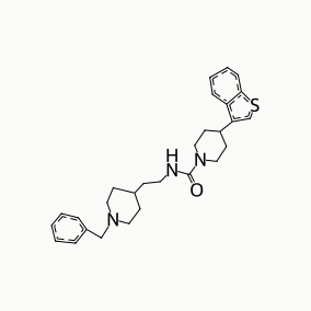 O=C(NCCC1CCN(Cc2ccccc2)CC1)N1CCC(c2csc3ccccc23)CC1